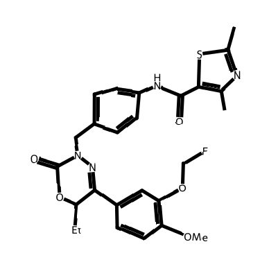 CCC1OC(=O)N(Cc2ccc(NC(=O)c3sc(C)nc3C)cc2)N=C1c1ccc(OC)c(OCF)c1